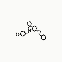 COc1ccc(CN2CC3(CCCC3)c3ccc(OCc4ccccc4)cc32)cc1